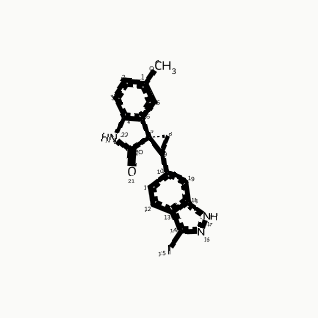 Cc1ccc2c(c1)[C@]1(CC1c1ccc3c(I)n[nH]c3c1)C(=O)N2